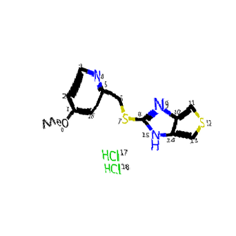 COc1ccnc(CSc2nc3cscc3[nH]2)c1.Cl.Cl